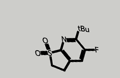 CC(C)(C)c1nc2c(cc1F)CCS2(=O)=O